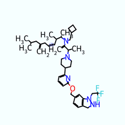 C=C(C/C=C\C(C)C(C)N(CC1CCC1)C(=C)C(C)N1CCC(c2cccc(OCc3ccc4c(c3)N(CC(F)(F)F)NC4)n2)CC1)CC(C)C